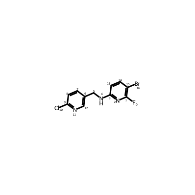 Fc1nc(NCc2ccc(Cl)nc2)ccc1Br